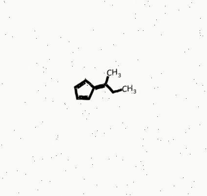 CC/C(C)=C1/[C]=CC=C1